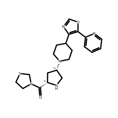 O=C([C@@H]1C[C@H](N2CCC(c3ncoc3-c3ccccn3)CC2)CN1)N1CCSC1